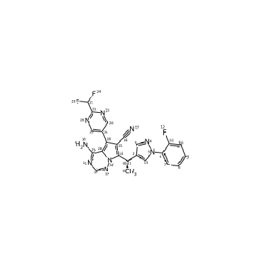 C[C@H](c1cnn(-c2ccccc2F)c1)c1c(C#N)c(-c2cnc(C(F)F)nc2)c2c(N)ncnn12